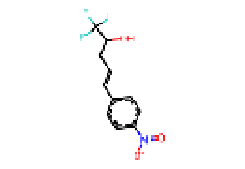 O=[N+]([O-])c1ccc(C=CCC(O)C(F)(F)F)cc1